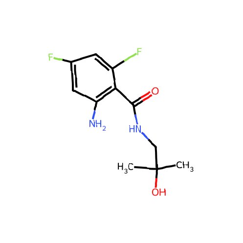 CC(C)(O)CNC(=O)c1c(N)cc(F)cc1F